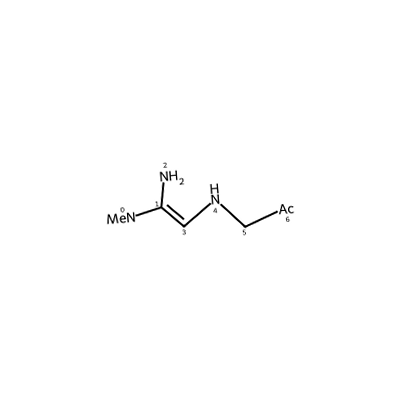 CN/C(N)=C/NCC(C)=O